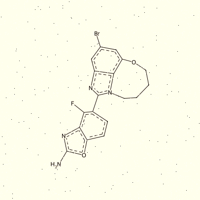 Nc1nc2c(F)c(-c3nc4cc(Br)cc5c4n3CCCCO5)ccc2o1